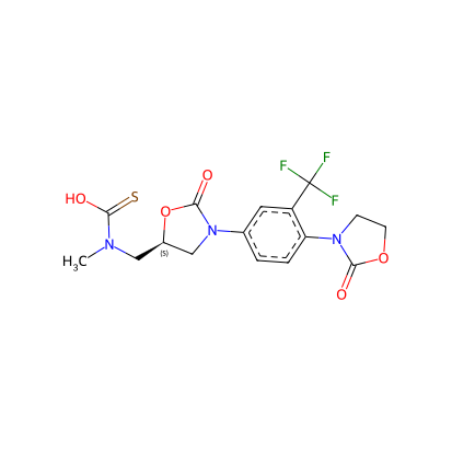 CN(C[C@@H]1CN(c2ccc(N3CCOC3=O)c(C(F)(F)F)c2)C(=O)O1)C(O)=S